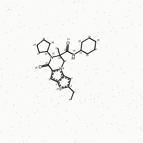 CCc1cc2c(cc3n2CC(C)(C(=O)NC2CCCCC2)N(C2CCCC2)C3=O)s1